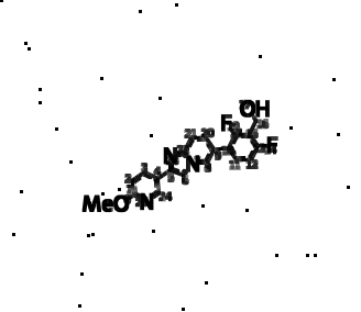 COc1ccc(-c2cn3cc(-c4ccc(F)c(CO)c4F)ccc3n2)cn1